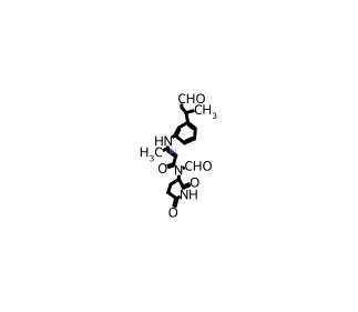 C/C(=C\C(=O)N(C=O)C1CCC(=O)NC1=O)Nc1cccc(C(C)CC=O)c1